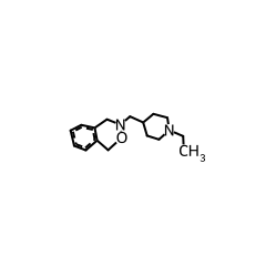 CCN1CCC(CN2Cc3ccccc3CO2)CC1